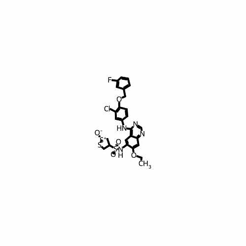 CCOc1cc2ncnc(Nc3ccc(OCc4cccc(F)c4)c(Cl)c3)c2cc1NS(=O)(=O)C1CS[S+]([O-])C1